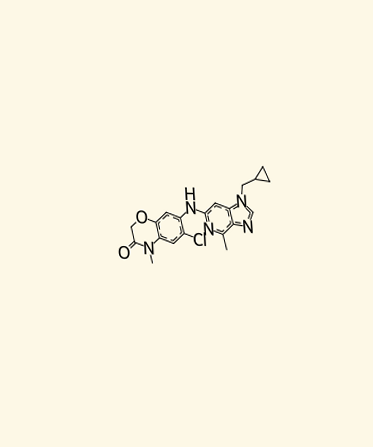 Cc1nc(Nc2cc3c(cc2Cl)N(C)C(=O)CO3)cc2c1ncn2CC1CC1